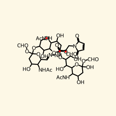 CC(=O)NC1C(O)CC(OC=O)(OC(CO)C(O)C2OC(OC=O)(OC(CO)C(O)C3OC(O)(OC=O)CC(O)C3NC(C)=O)CC(O)C2NC(C)=O)OC1/C=N/NC(=O)CCN1C(=O)C=CC1=O